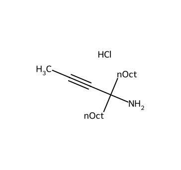 CC#CC(N)(CCCCCCCC)CCCCCCCC.Cl